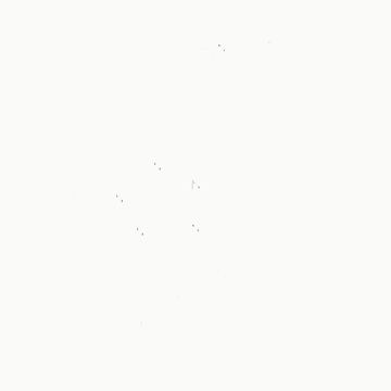 CCOC1CN(c2nc(SCc3ccc(OC)c(N)c3)nc3c2ncn3CC)CCO1